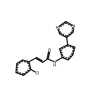 O=C(/C=C/c1ccccc1Cl)Nc1cccc(-c2cncnc2)c1